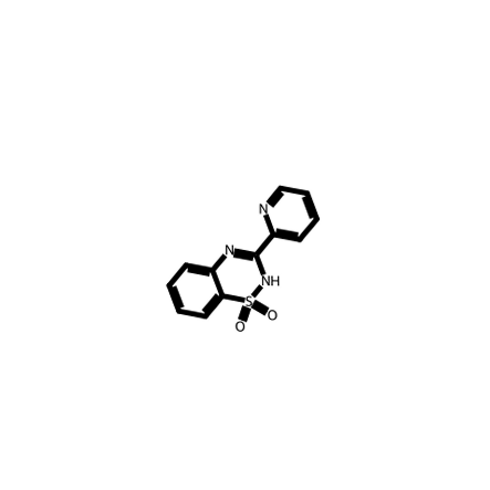 O=S1(=O)NC(c2ccccn2)=Nc2ccccc21